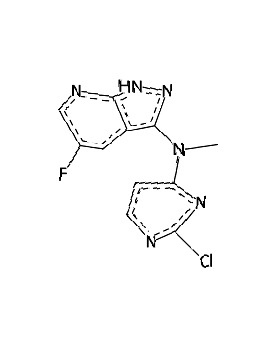 CN(c1ccnc(Cl)n1)c1n[nH]c2ncc(F)cc12